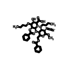 CCCCOC1[C@H](O)C(C(=O)O)O[C@@H](O[C@@H]2C(COC(=O)c3ccccc3)OC(OC)[C@@H](N=[N+]=[N-])[C@H]2OCCCC)[C@H]1OC(=O)c1ccccc1